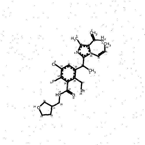 C=C(N)c1c(C)nc(C(C)c2cc(Cl)c(F)c(C(=O)NCC3CCOC3)c2CC(C)C)n1/C=C\C